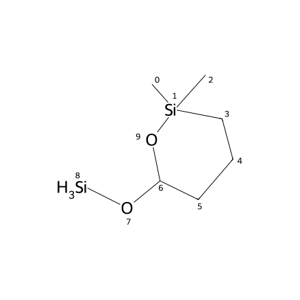 C[Si]1(C)CCCC(O[SiH3])O1